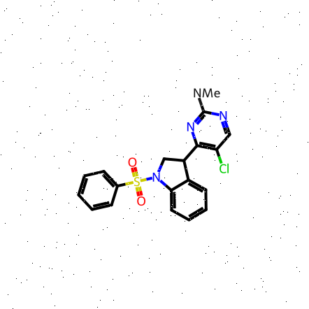 CNc1ncc(Cl)c(C2CN(S(=O)(=O)c3ccccc3)c3ccccc32)n1